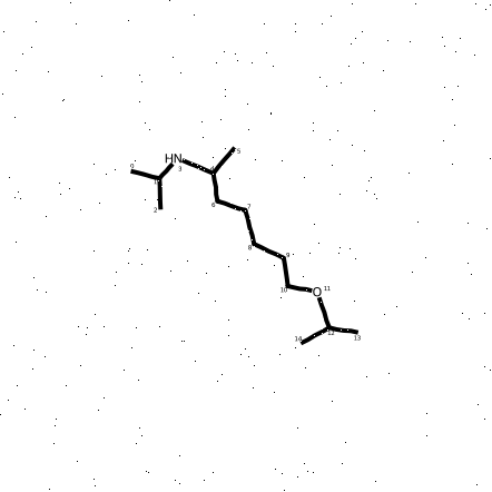 CC(C)NC(C)CCCCCOC(C)C